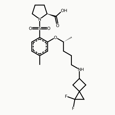 Cc1ccc(S(=O)(=O)N2CCC[C@H]2C(=O)O)c(O[C@H](C)CCCNC2CC3(C2)CC3(F)F)c1